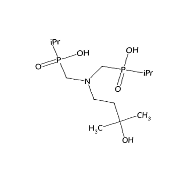 CC(C)P(=O)(O)CN(CCC(C)(C)O)CP(=O)(O)C(C)C